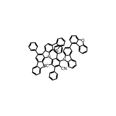 N#Cc1c(-c2ccccc2)c(C#N)c(-n2c3c(ccc4c5ccccc5sc43)c3c(-c4ccccc4)cc4c5ccccc5sc4c32)c(-c2ccccc2)c1-n1c2ccccc2c2cc(-c3cccc4oc5ccccc5c34)ccc21